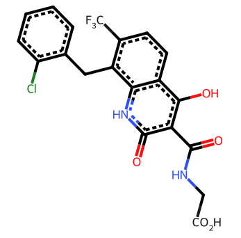 O=C(O)CNC(=O)c1c(O)c2ccc(C(F)(F)F)c(Cc3ccccc3Cl)c2[nH]c1=O